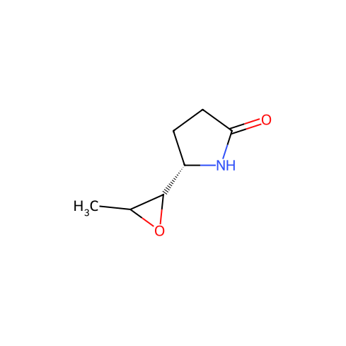 CC1OC1[C@@H]1CCC(=O)N1